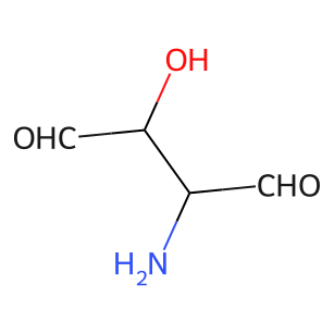 NC(C=O)C(O)C=O